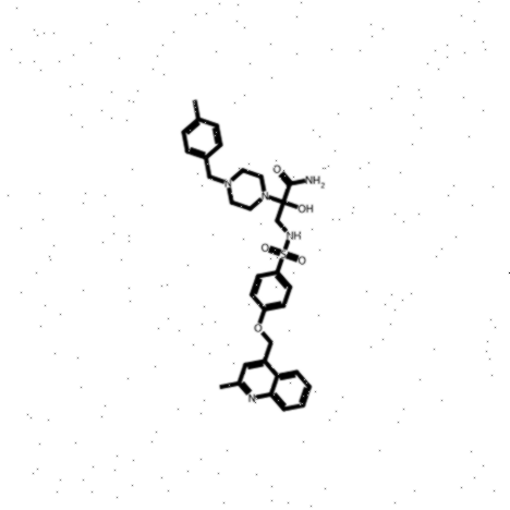 Cc1ccc(CN2CCN(C(O)(CNS(=O)(=O)c3ccc(OCc4cc(C)nc5ccccc45)cc3)C(N)=O)CC2)cc1